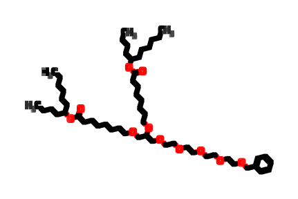 CCCCCCC(CCCC)OC(=O)CCCCCCCOCC(COCCOCCOCCOCCOCc1ccccc1)OCCCCCCCC(=O)OC(CCCC)CCCCCC